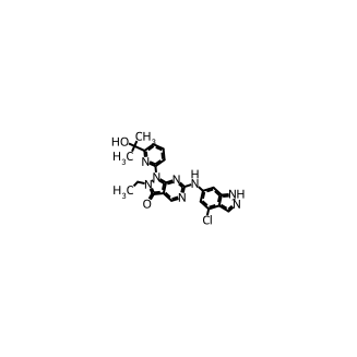 CCn1c(=O)c2cnc(Nc3cc(Cl)c4cn[nH]c4c3)nc2n1-c1cccc(C(C)(C)O)n1